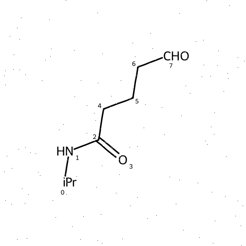 CC(C)NC(=O)CCCC=O